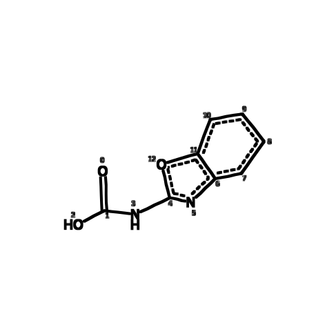 O=C(O)Nc1nc2ccccc2o1